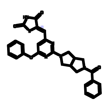 O=C1NC(=O)/C(=C/c2cc(Oc3ccccc3)nc(N3CC4CN(C(=O)c5ccccc5)CC4C3)n2)S1